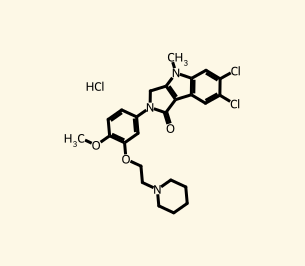 COc1ccc(N2Cc3c(c4cc(Cl)c(Cl)cc4n3C)C2=O)cc1OCCN1CCCCC1.Cl